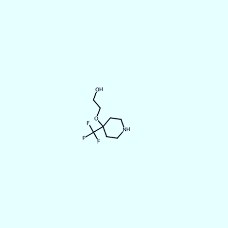 OCCOC1(C(F)(F)F)CCNCC1